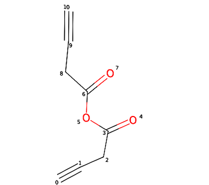 C#CCC(=O)OC(=O)CC#C